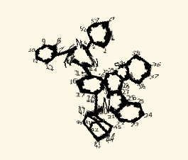 c1ccc(-c2nc(-c3ccccc3)nc(-c3ccc(C4(n5c6ccccc6c6c7c(ccc65)sc5ccccc57)C5CC6CC(C5)CC4C6)cc3)n2)cc1